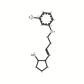 OC1CCCC1/C=C/CCOc1cccc(C(F)(F)F)c1